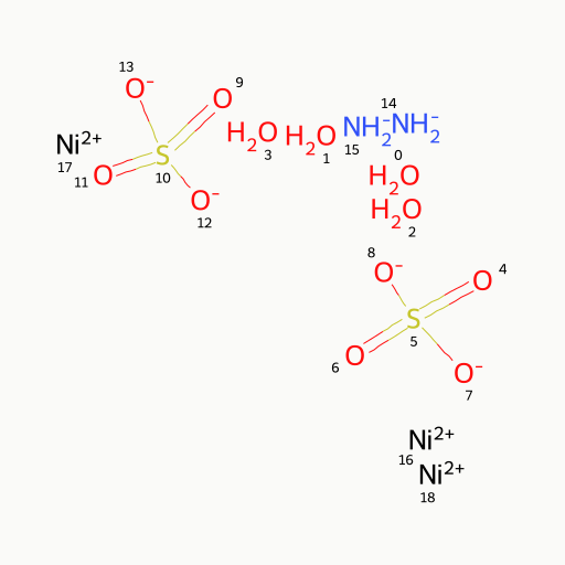 O.O.O.O.O=S(=O)([O-])[O-].O=S(=O)([O-])[O-].[NH2-].[NH2-].[Ni+2].[Ni+2].[Ni+2]